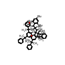 CCCCC(CC)(C(OP(O)O)c1c(C(C)(C)C)cc(C(C)(C)C)cc1C(C)(C)C)C(O)C(Oc1ccc(C(C)(C)c2ccccc2)cc1C(C)(C)c1ccccc1)(c1ccc(C(C)(C)c2ccccc2)cc1C(C)(C)c1ccccc1)C(CO)(CO)CO